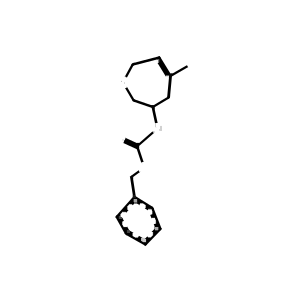 CC1=CCNCC(NC(=O)OCc2ccccc2)C1